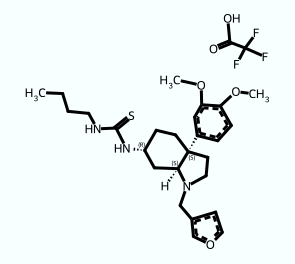 CCCCNC(=S)N[C@@H]1CC[C@@]2(c3ccc(OC)c(OC)c3)CCN(Cc3ccoc3)[C@H]2C1.O=C(O)C(F)(F)F